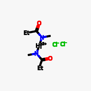 CCC(=O)[N](C)[Hf+2][N](C)C(=O)CC.[Cl-].[Cl-]